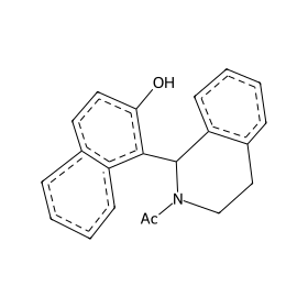 CC(=O)N1CCc2ccccc2C1c1c(O)ccc2ccccc12